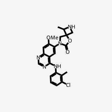 COc1cc2ncnc(Nc3cccc(Cl)c3C)c2cc1N1CC2(CNC2C)OC1=O